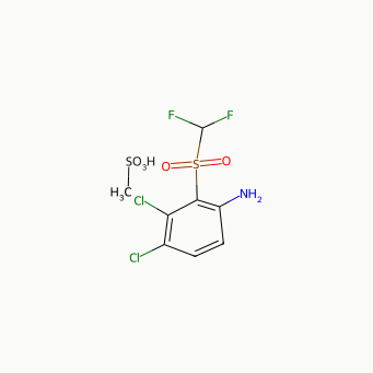 CS(=O)(=O)O.Nc1ccc(Cl)c(Cl)c1S(=O)(=O)C(F)F